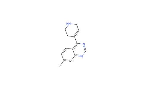 Cc1ccc2c(C3=CCNCC3)ncnc2c1